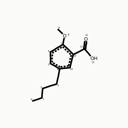 CCCCc1ccc(OC)c(C(=O)O)c1